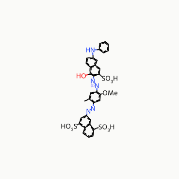 COc1cc(N=Nc2cc(S(=O)(=O)O)c3cccc(S(=O)(=O)O)c3c2)c(C)cc1/N=N/c1c(S(=O)(=O)O)cc2cc(Nc3ccccc3)ccc2c1O